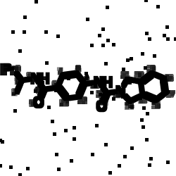 CC(C)C(C)NC(=O)c1ccc(NC(=O)N2Cc3ccccc3C2)cc1